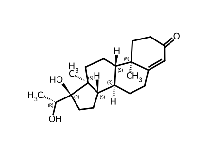 C[C@@H](O)[C@@]1(O)CC[C@H]2[C@@H]3CCC4=CC(=O)CC[C@]4(C)[C@H]3CC[C@@]21C